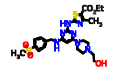 CCOC(=O)c1sc(Nc2nc(NCc3ccc(S(C)(=O)=O)cc3)cc(N3CCN(CCO)CC3)n2)nc1C